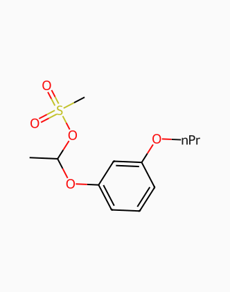 CCCOc1cccc(OC(C)OS(C)(=O)=O)c1